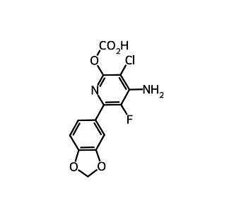 Nc1c(F)c(-c2ccc3c(c2)OCO3)nc(OC(=O)O)c1Cl